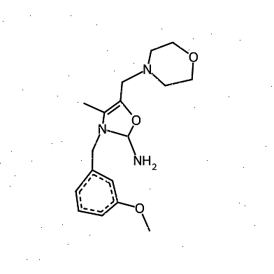 COc1cccc(CN2C(C)=C(CN3CCOCC3)OC2N)c1